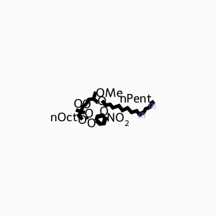 CCCCC/C=C\C/C=C\CCCCCCCC(=O)OCC(COC)COC(=O)C(C)(C)C(CCCCCCCC)OC(=O)Oc1ccc([N+](=O)[O-])cc1